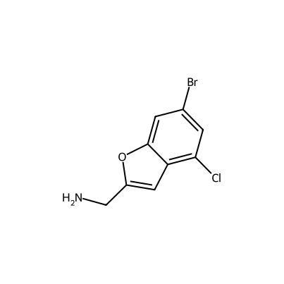 NCc1cc2c(Cl)cc(Br)cc2o1